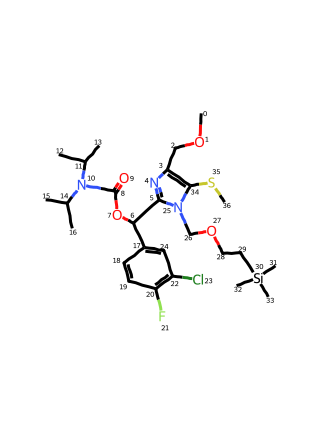 COCc1nc(C(OC(=O)N(C(C)C)C(C)C)c2ccc(F)c(Cl)c2)n(COCC[Si](C)(C)C)c1SC